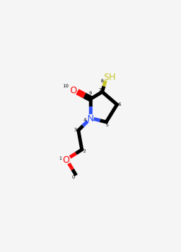 COCCN1CCC(S)C1=O